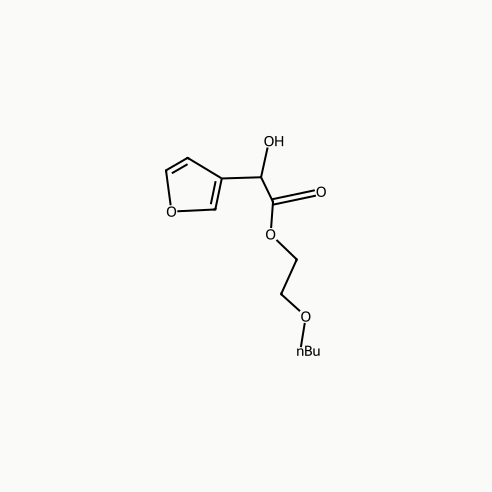 CCCCOCCOC(=O)C(O)c1ccoc1